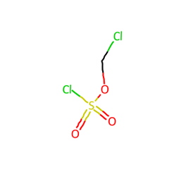 O=S(=O)(Cl)OCCl